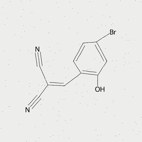 N#CC(C#N)=Cc1ccc(Br)cc1O